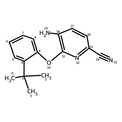 CC(C)(C)c1ccccc1Oc1nc(C#N)ccc1N